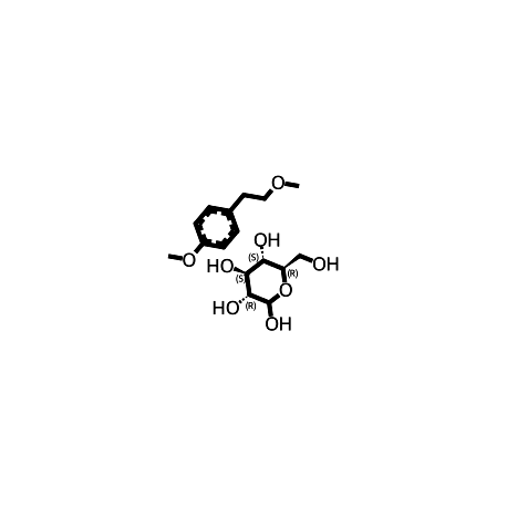 COCCc1ccc(OC)cc1.OC[C@H]1OC(O)[C@H](O)[C@@H](O)[C@@H]1O